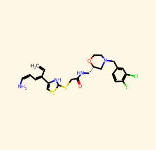 C=C/C(=C\C=C/N)C1=CSC(SCC(=O)NC[C@H]2CN(Cc3ccc(Cl)c(Cl)c3)CCO2)N1